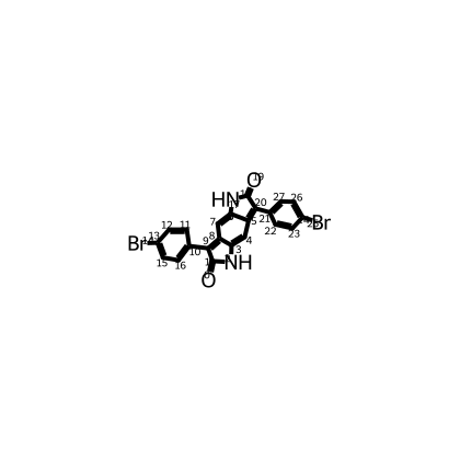 O=C1Nc2cc3c(cc2=C1c1ccc(Br)cc1)NC(=O)C=3c1ccc(Br)cc1